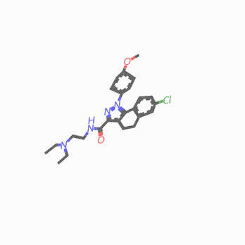 CCN(CC)CCNC(=O)c1nn(-c2ccc(OC)cc2)c2c1CCc1cc(Cl)ccc1-2